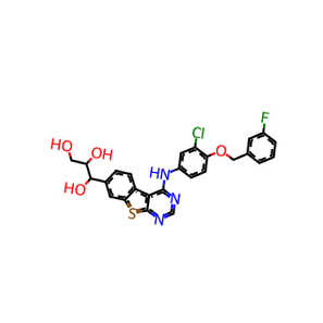 OCC(O)C(O)c1ccc2c(c1)sc1ncnc(Nc3ccc(OCc4cccc(F)c4)c(Cl)c3)c12